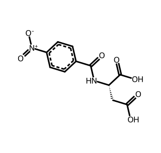 O=C(O)C[C@H](NC(=O)c1ccc([N+](=O)[O-])cc1)C(=O)O